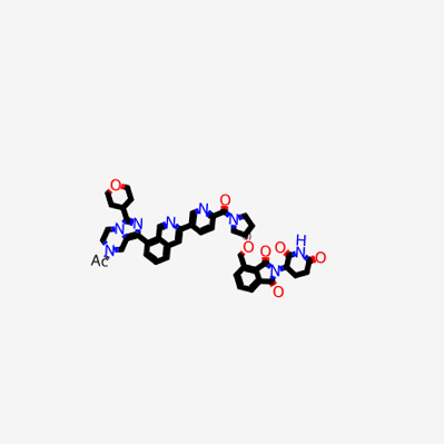 CC(=O)N1CCn2c(C3CCOCC3)nc(-c3cccc4cc(-c5ccc(C(=O)N6CC[C@H](OCc7cccc8c7C(=O)N(C7CCC(=O)NC7=O)C8=O)C6)nc5)ncc34)c2C1